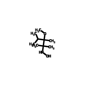 COC(C)(C(C)C)C(C)(C)NO